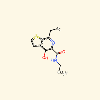 CC(=O)Cc1nc(C(=O)NCC(=O)O)c(O)c2ccsc12